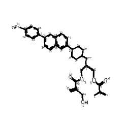 C=C(C)C(=O)OCC(COC(=O)C(=C)CO)CC1CCC(c2ccc3cc(-c4ccc(CCC)cc4)ccc3c2)CC1